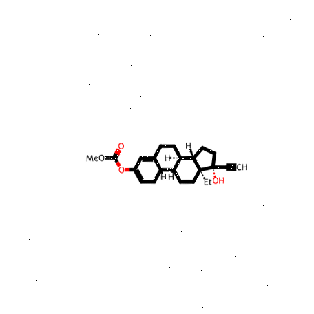 C#C[C@]1(O)CC[C@H]2[C@@H]3CCC4=CC(OC(=O)OC)=CC[C@@H]4[C@H]3CC[C@@]21CC